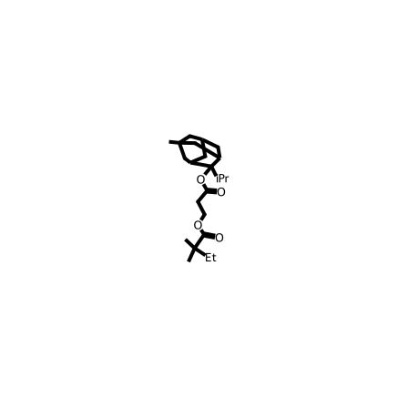 CCC(C)(C)C(=O)OCCC(=O)OC1(C(C)C)C2CC3CC1CC(C)(C3)C2